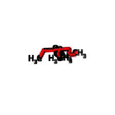 CC/C=C\C/C=C\C/C=C\C/C=C\CCCCCCC(=O)O[C@H](COC(=O)CCCCCCCCC/C=C\CCCCCCCC)COP(=O)([O-])OCC[N+](C)(C)C